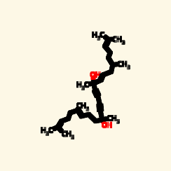 CC(C)=CCCC(C)=CCCC(C)(O)C#CC#CC(C)(O)C=CCC(C)CCC=C(C)C